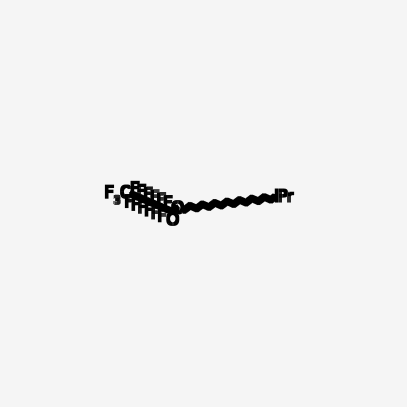 CC(C)CCCCCCCCCCCCCCCOC(=O)C(F)(F)C(F)(F)C(F)(F)C(F)(F)C(F)(F)C(F)(F)C(F)(F)F